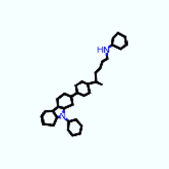 CC(CCCCNC1CCCCC1)C1CCC(C2CCC3C4CCCCC4N(C4CCCCC4)C3C2)CC1